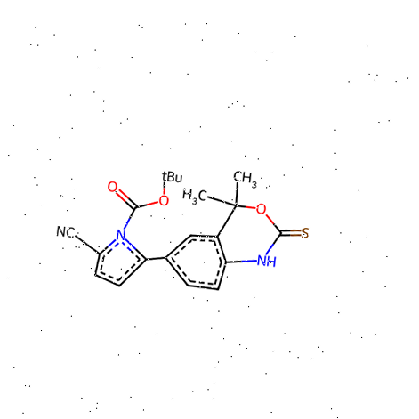 CC(C)(C)OC(=O)n1c(C#N)ccc1-c1ccc2c(c1)C(C)(C)OC(=S)N2